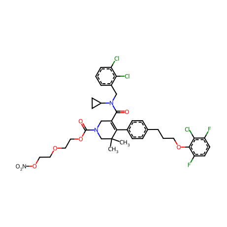 CC1(C)CN(C(=O)OCCOCCO[N+](=O)[O-])CC(C(=O)N(Cc2cccc(Cl)c2Cl)C2CC2)=C1c1ccc(CCCOc2c(F)ccc(F)c2Cl)cc1